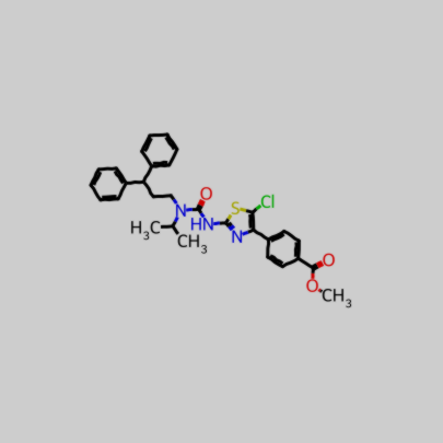 COC(=O)c1ccc(-c2nc(NC(=O)N(CCC(c3ccccc3)c3ccccc3)C(C)C)sc2Cl)cc1